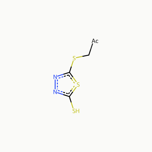 CC(=O)CSc1nnc(S)s1